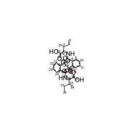 CCC(C)[C@H](NC(=O)c1ccccc1S(=O)(=O)S(=O)(=O)c1ccccc1C(=O)N[C@H](C(=O)O)C(C)CC)C(=O)O